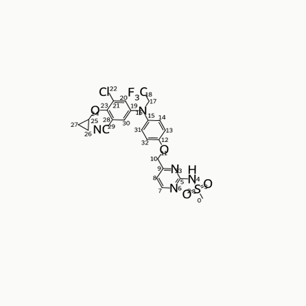 CS(=O)(=O)Nc1nccc(COc2ccc(N(CC(F)(F)F)c3cc(Cl)c(OC4CC4)c(C#N)c3)cc2)n1